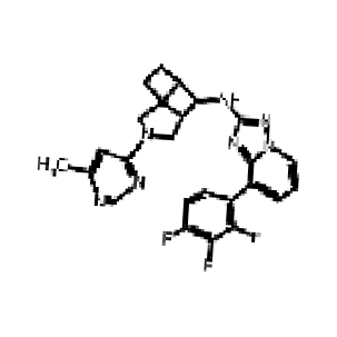 Cc1cc(N2CC3C(Nc4nc5c(-c6ccc(F)c(F)c6F)cccn5n4)C4CCC43C2)ncn1